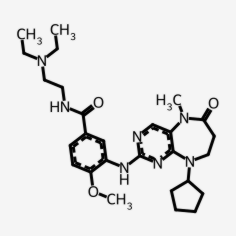 CCN(CC)CCNC(=O)c1ccc(OC)c(Nc2ncc3c(n2)N(C2CCCC2)CCC(=O)N3C)c1